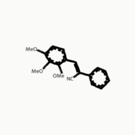 COc1ccc(/C=C(\C#N)c2ccccc2)c(OC)c1OC